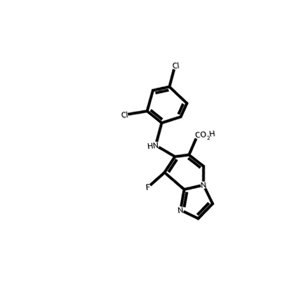 O=C(O)c1cn2ccnc2c(F)c1Nc1ccc(Cl)cc1Cl